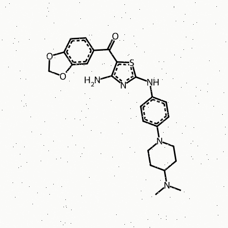 CN(C)C1CCN(c2ccc(Nc3nc(N)c(C(=O)c4ccc5c(c4)OCO5)s3)cc2)CC1